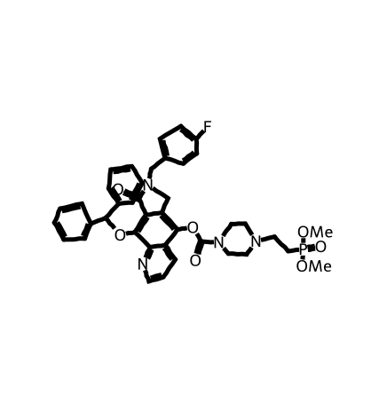 COP(=O)(CCN1CCN(C(=O)Oc2c3c(c(OC(c4ccccc4)c4ccccc4)c4ncccc24)C(=O)N(Cc2ccc(F)cc2)C3)CC1)OC